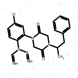 CC(Cc1ccccc1)N1CC(=O)N(c2cc(Cl)ccc2N(C=N)N=N)CC1=O